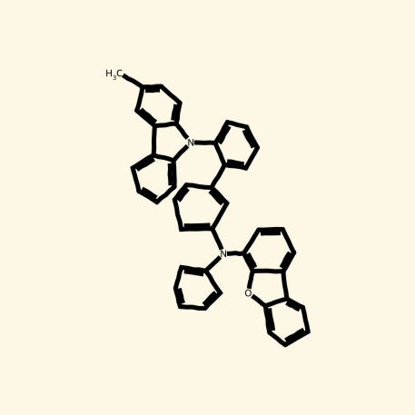 Cc1ccc2c(c1)c1ccccc1n2-c1ccccc1-c1cccc(N(c2ccccc2)c2cccc3c2oc2ccccc23)c1